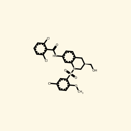 COc1ccc(Cl)cc1S(=O)(=O)N1C[C@H](CO)Cc2ccc(NC(=O)c3c(Cl)cccc3Cl)cc21